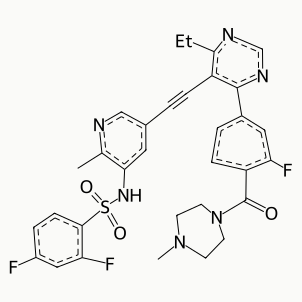 CCc1ncnc(-c2ccc(C(=O)N3CCN(C)CC3)c(F)c2)c1C#Cc1cnc(C)c(NS(=O)(=O)c2ccc(F)cc2F)c1